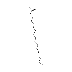 [CH2]CCCCCCCCCCCCCCCC(=C)C